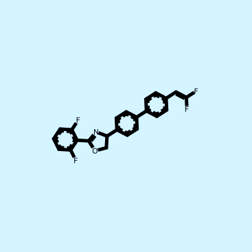 FC(F)=Cc1ccc(-c2ccc(C3COC(c4c(F)cccc4F)=N3)cc2)cc1